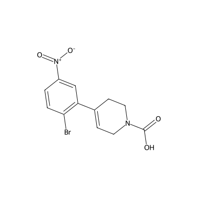 O=C(O)N1CC=C(c2cc([N+](=O)[O-])ccc2Br)CC1